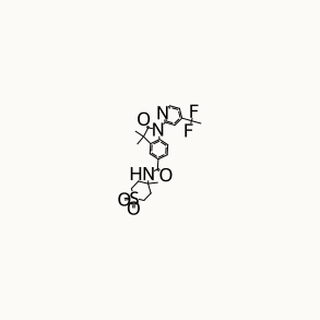 CC1(NC(=O)c2ccc3c(c2)C(C)(C)C(=O)N3c2cc(C(C)(F)F)ccn2)CCS(=O)(=O)CC1